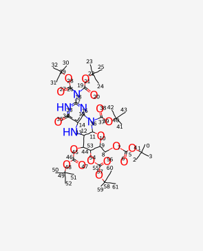 CC(C)(C)OC(=O)OCC1OC2C(Nc3c(nc(N(C(=O)OC(C)(C)C)C(=O)OC(C)(C)C)[nH]c3=O)N2C(=O)OC(C)(C)C)C(OC(=O)OC(C)(C)C)C1OC(=O)OC(C)(C)C